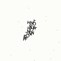 Cc1nc(N[C@H](C)c2cccc(C(F)(F)F)c2C)c2cc(N3CCC(NC(=O)C4CC4)C3)c(Br)cc2n1